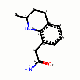 CC1CCc2cccc(CC(N)=O)c2N1